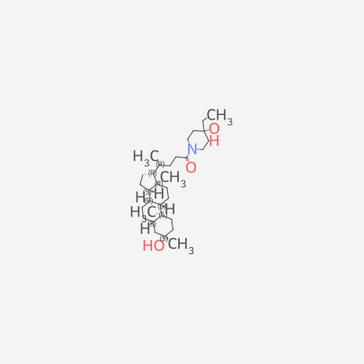 CCC1(O)CCN(C(=O)CC[C@@H](C)[C@H]2CC[C@H]3[C@@H]4CC[C@H]5C[C@@](C)(O)CC[C@]5(C)[C@H]4CC[C@]23C)CC1